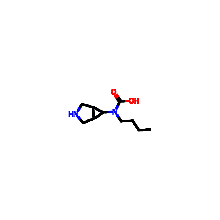 CCCCN(C(=O)O)C1C2CNCC21